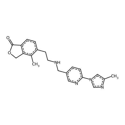 Cc1cn(-c2ccc(CNCCc3ccc4c(c3C)COC4=O)cn2)cn1